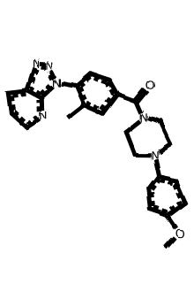 COc1ccc(N2CCN(C(=O)c3ccc(-n4nnc5cccnc54)c(C)c3)CC2)cc1